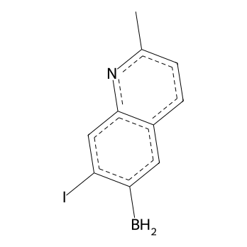 Bc1cc2ccc(C)nc2cc1I